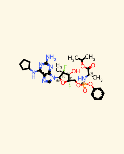 CC(C)OC(=O)[C@H](C)N[P@@](=O)(OC[C@@]1(F)O[C@@H](n2cnc3c(NC4CCCC4)nc(N)nc32)[C@](C)(F)[C@@H]1O)Oc1ccccc1